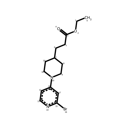 CCOC(=O)CCC1CCN(c2ccnc(Br)c2)CC1